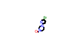 O=CN1CCCN(c2ccc(Br)cn2)CC1